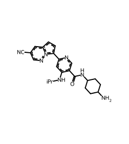 CC(C)Nc1cc(-c2ccc3cc(C#N)cnn23)ncc1C(=O)NC1CCC(N)CC1